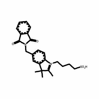 CC1=[N+](CCCCS(=O)(=O)O)c2ccc(CN3C(=O)c4ccccc4C3=O)cc2C1(C)C